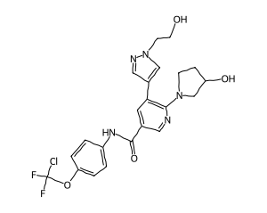 O=C(Nc1ccc(OC(F)(F)Cl)cc1)c1cnc(N2CCC(O)C2)c(-c2cnn(CCO)c2)c1